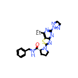 CCc1nc(-n2nccn2)nc2nc(N3CCC[C@@H]3C(=O)NCc3ccccc3)sc12